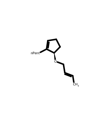 CC=CCO[C@@H]1CCC=C1CCCCC